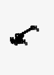 CCCCCCCCCc1ccc(B2OC(C)(C)C(C)(C)O2)c(Cl)c1